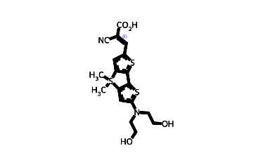 CS1(C)c2cc(/C=C(\C#N)C(=O)O)sc2-c2sc(N(CCO)CCO)cc21